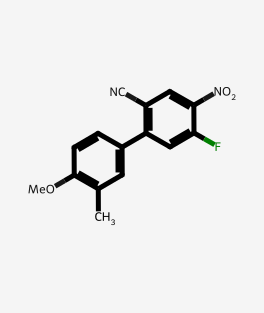 COc1ccc(-c2cc(F)c([N+](=O)[O-])cc2C#N)cc1C